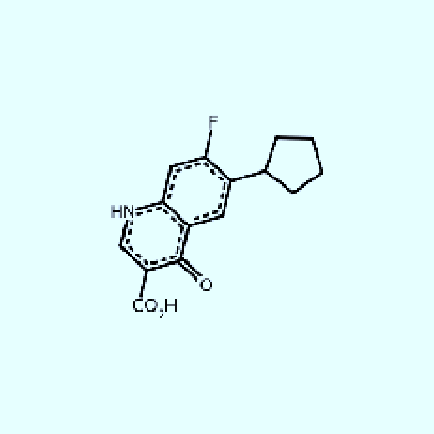 O=C(O)c1c[nH]c2cc(F)c(C3CCCC3)cc2c1=O